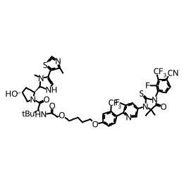 Cc1ncsc1C1=CNC([C@@H]2C[C@@H](O)CN2C(=O)[C@@H](NC(=O)COCCCCOc2ccc(-c3ncc(N4C(=S)N(c5ccc(C#N)c(C(F)(F)F)c5F)C(=O)C4(C)C)cc3F)c(C(F)(F)F)c2)C(C)(C)C)N1C